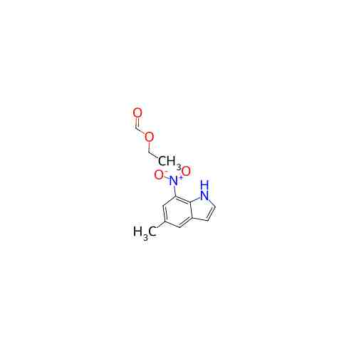 CCOC=O.Cc1cc([N+](=O)[O-])c2[nH]ccc2c1